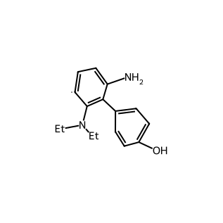 CCN(CC)c1[c]ccc(N)c1-c1ccc(O)cc1